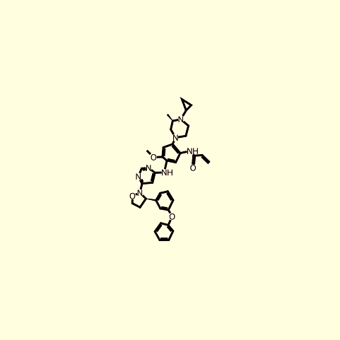 C=CC(=O)Nc1cc(Nc2cc(N3OCC[C@@H]3c3cccc(Oc4ccccc4)c3)ncn2)c(OC)cc1N1CCN(C2CC2)[C@H](C)C1